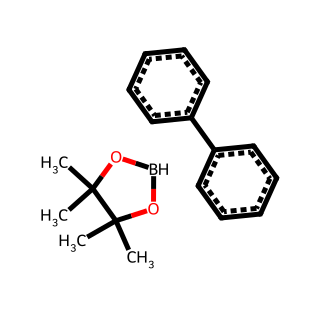 CC1(C)OBOC1(C)C.c1ccc(-c2ccccc2)cc1